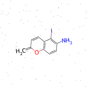 C=C1C=Cc2c(ccc(N)c2I)O1